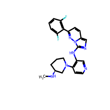 CN[C@H]1CCCN(c2ccncc2Nc2ncc3ccc(-c4c(F)cccc4F)nn23)C1